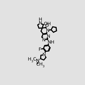 CN(C)[C@H]1CCN(c2ccc(Nc3ncc4c(n3)N(C3CCCC3)C(=O)C3(CCNC3O)C4)cc2F)C1